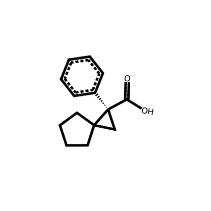 O=C(O)[C@@]1(c2ccccc2)CC12CCCC2